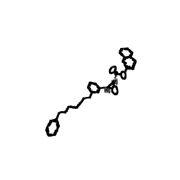 O=C(Oc1ccc2ccccc2c1)[C@@H]1O[C@H]1c1cccc(CCCCCCc2ccccc2)c1